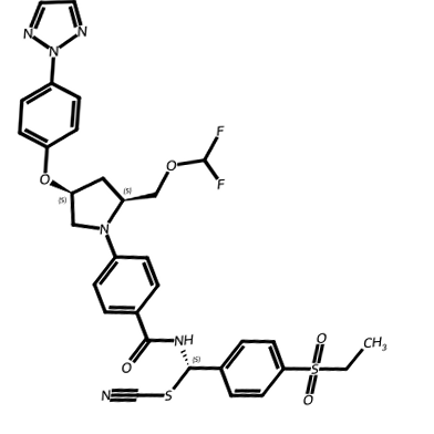 CCS(=O)(=O)c1ccc([C@@H](NC(=O)c2ccc(N3C[C@@H](Oc4ccc(-n5nccn5)cc4)C[C@H]3COC(F)F)cc2)SC#N)cc1